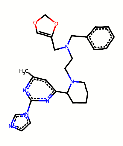 Cc1cc(C2CCCCN2CCN(CC2=COCO2)Cc2ccccc2)nc(-n2ccnc2)n1